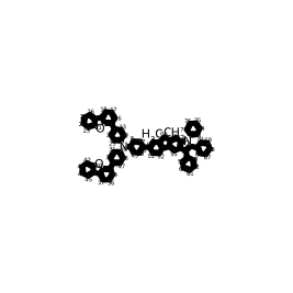 CC1(C)c2cc(-c3ccc(N(c4ccc(-c5cccc6c5oc5ccccc56)cc4)c4ccc(-c5cccc6c5oc5ccccc56)cc4)cc3)ccc2-c2cc3c(-c4ccccc4)c(-c4ccccc4)n(-c4ccccc4)c3cc21